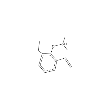 C=Cc1cccc(CC)c1O[SiH](C)C